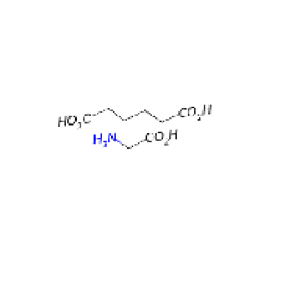 NCC(=O)O.O=C(O)CCCCC(=O)O